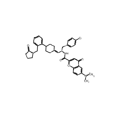 CN(C)c1ccc2oc(C(=O)N[C@@H](C=C3CCC(c4ccccc4CN4CCCC4=O)CC3)Cc3ccc(Cl)cc3)cc(=O)c2c1